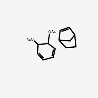 C1=CC2CCC1C2.CC(=O)OC1C=CC=CC1OC(C)=O